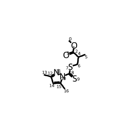 COC(=O)C(C)CSC(=S)n1nc(C)cc1C